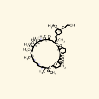 CO[C@H]1C[C@@H]2CC[C@@H](C)C(O)(O2)C(=O)C(=O)N2CCCC[C@H]2C(=O)OC([C@@H](C)C[C@@H]2CC[C@@H](OCCO)[C@H](OC)C2)CC(=O)[C@H](C)/C=C(\C)[C@@H](O)[C@@H](OC)C(=O)[C@H](C)C[C@H](C)/C=C/C=C/C=C/1C